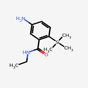 CCNC(=O)c1cc(N)ccc1[Si](C)(C)C